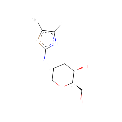 N#Cc1sc(N[C@H]2CO[C@H](CO)[C@H](O)C2)nc1C(F)(F)F